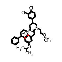 COCCN(CC(CC[N+]12CCC(c3ccccc3)(CC1)CC2)c1ccc(Cl)c(Cl)c1)C(=O)Cc1cccc(OC(C)C)c1.[Cl-]